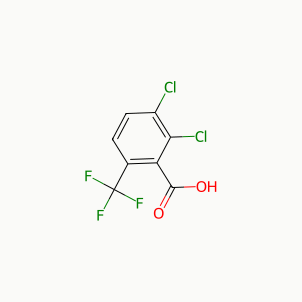 O=C(O)c1c(C(F)(F)F)ccc(Cl)c1Cl